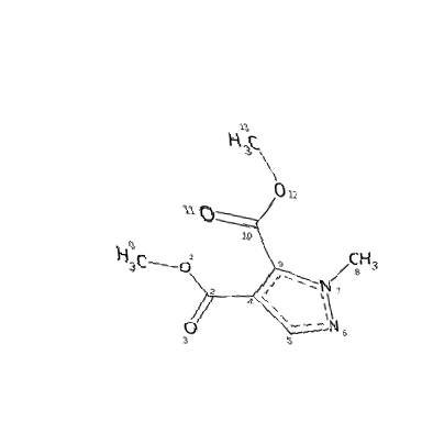 COC(=O)c1cnn(C)c1C(=O)OC